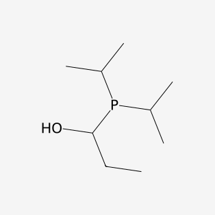 CCC(O)P(C(C)C)C(C)C